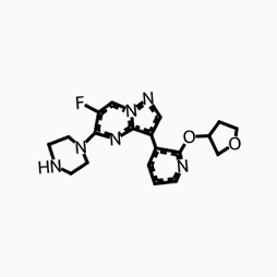 Fc1cn2ncc(-c3cccnc3OC3CCOC3)c2nc1N1CCNCC1